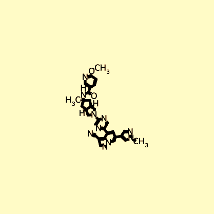 COc1ccc(C(=O)N[C@]2(C)C[C@H]3CN(c4cnc(-c5cc(-c6cnn(C)c6)cn6ncc(C#N)c56)cn4)C[C@H]3C2)cn1